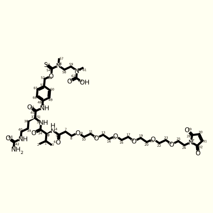 CC(C)[C@H](NC(=O)CCOCCOCCOCCOCCOCCOCCN1C(=O)C=CC1=O)C(=O)N[C@@H](CCCNC(N)=O)C(=O)Nc1ccc(COC(=S)N(C)CCN(C)C(=O)O)cc1